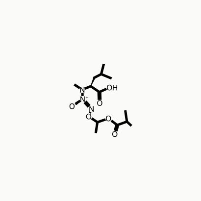 CC(C)C[C@@H](C(=O)O)N(C)/[N+]([O-])=N/OC(C)OC(=O)C(C)C